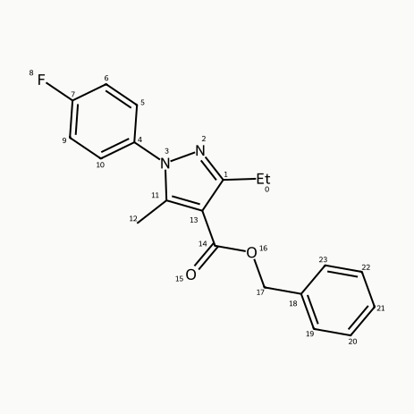 CCc1nn(-c2ccc(F)cc2)c(C)c1C(=O)OCc1ccccc1